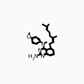 COc1ccc(N(C)c2nc(N)nc3cccc(CC=C(C)CCC=C(C)C)c23)cc1